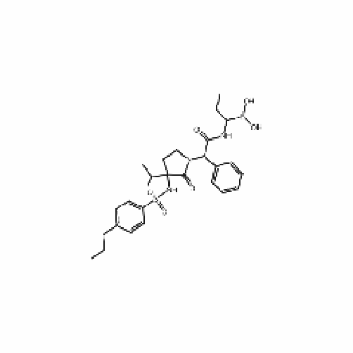 CCCc1ccc(S(=O)(=O)NC2(C(C)C)CCN(C(C(=O)NC(CC)B(O)O)c3ccccc3)C2=O)cc1